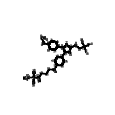 COc1ccc(-n2nc(OCC(F)(F)F)nc2-c2ccc(OCCCNS(C)(=O)=O)cc2)cc1